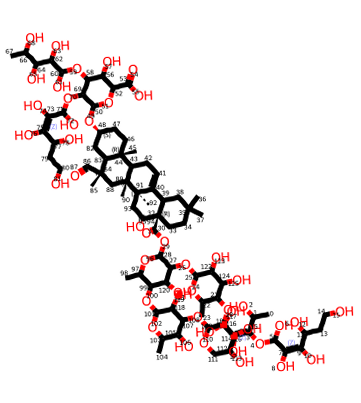 CC(O)/C(OC(O)/C(O)=C(/O)C(O)CCO)=C(/O)C(O)OC1C(C)OC(OC2C(OC(=O)[C@]34CCC(C)(C)CC3C3=CCC5[C@@]6(C)CC[C@H](OC7OC(C(=O)O)C(O)C(OC(O)C(O)C(O)C(C)O)C7OC(O)/C(O)=C(/O)C(O)CCO)CC6[C@@](C)(C=O)C[C@@]5(C)[C@]3(C)C[C@H]4O)OC(C)C(OC3OC(C)C(O)C(OC4OCC(O)C(O)C4O)C3O)C2O)C(O)C1O